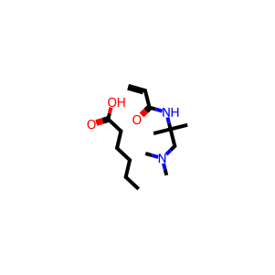 C=CC(=O)NC(C)(C)CN(C)C.CCCCCC(=O)O